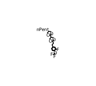 CCCCCC1COC(C2COC(CCc3ccc(OC(F)F)c(F)c3)OC2)OC1